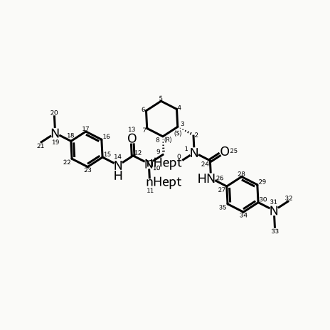 CCCCCCCN(C[C@H]1CCCC[C@H]1CN(CCCCCCC)C(=O)Nc1ccc(N(C)C)cc1)C(=O)Nc1ccc(N(C)C)cc1